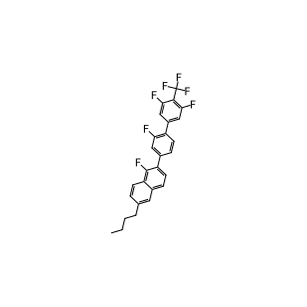 CCCCc1ccc2c(F)c(-c3ccc(-c4cc(F)c(C(F)(F)F)c(F)c4)c(F)c3)ccc2c1